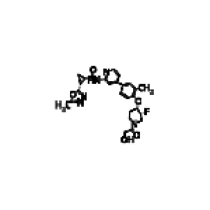 Cc1nnc([C@@H]2C[C@H]2C(=O)Nc2cc(-c3ccc(O[C@H]4CCN(C(=O)CO)C[C@H]4F)c(C)c3)ccn2)o1